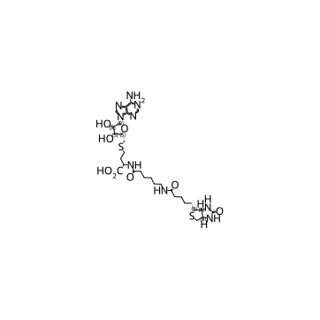 Nc1ncnc2c1ncn2[C@@H]1O[C@H](CSCCC(NC(=O)CCCCCNC(=O)CCCC[C@H]2SC[C@H]3NC(=O)N[C@H]32)C(=O)O)[C@@H](O)[C@H]1O